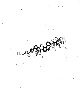 CCOC(=O)C1CN([C@H]2CCc3cc(-c4ccc(F)c(C5=C(C)C(NC(=O)c6cn(C)c(=O)n(C)c6=O)=CCC5)c4Cl)nc(OC)c32)C1